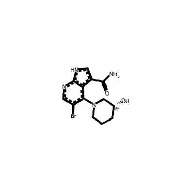 NC(=O)c1c[nH]c2ncc(Br)c(N3CCC[C@@H](O)C3)c12